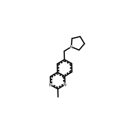 Cc1ncc2cc(CN3CCCC3)ccc2n1